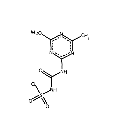 COc1nc(C)nc(NC(=O)NS(=O)(=O)Cl)n1